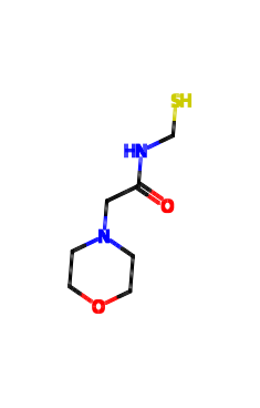 O=C(CN1CCOCC1)NCS